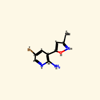 CC(C)(C)c1cc(-c2cc(Br)cnc2N)on1